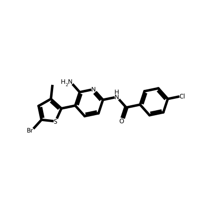 Cc1cc(Br)sc1-c1ccc(NC(=O)c2ccc(Cl)cc2)nc1N